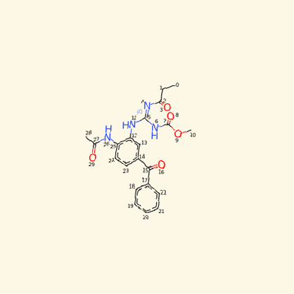 CCC(=O)/N=C(\NC(=O)OC)Nc1cc(C(=O)c2ccccc2)ccc1NC(C)=O